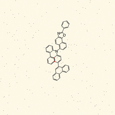 c1ccc(-c2nc3ccc4c(N(c5ccc(-c6cc7ccccc7c7ccccc67)cc5)c5ccccc5-c5ccccc5)cccc4c3o2)cc1